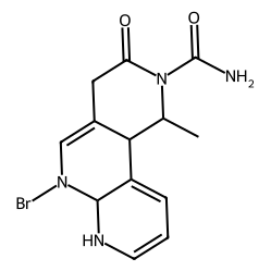 CC1C2C(=CN(Br)C3NC=CC=C23)CC(=O)N1C(N)=O